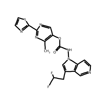 Cc1nc(-c2nccs2)ncc1OC(=O)Nn1cc(CC(F)F)c2cnccc21